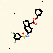 O=C(OCc1ccccc1)c1cccc2cc(NS(=O)(=O)c3cc(Cl)cc(Cl)c3)ccc12